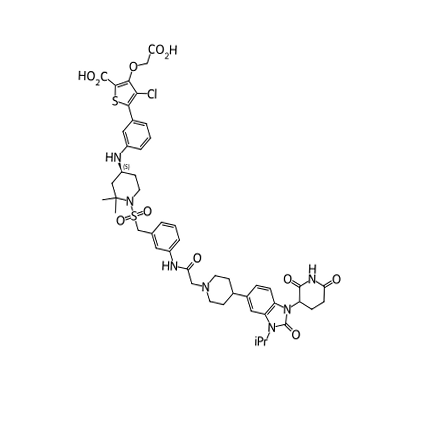 CC(C)n1c(=O)n(C2CCC(=O)NC2=O)c2ccc(C3CCN(CC(=O)Nc4cccc(CS(=O)(=O)N5CC[C@H](Nc6cccc(-c7sc(C(=O)O)c(OCC(=O)O)c7Cl)c6)CC5(C)C)c4)CC3)cc21